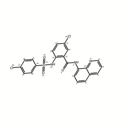 O=C(Nc1cccc2cccnc12)c1cc(Cl)ccc1NS(=O)(=O)c1ccc(Cl)cc1